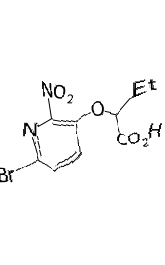 CCC(Oc1ccc(Br)nc1[N+](=O)[O-])C(=O)O